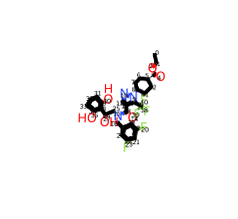 CCOC(=O)[C@H]1CC[C@H](n2ncc(C(=O)N(Cc3cc(F)cc(F)c3)CC(O)c3c(O)cccc3O)c2C(F)(F)F)CC1